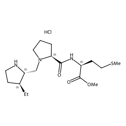 CC[C@H]1CCN[C@@H]1CN1CCC[C@H]1C(=O)N[C@@H](CCSC)C(=O)OC.Cl